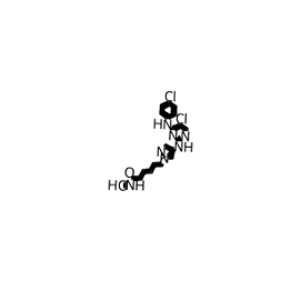 O=C(CCCCCn1cc(Nc2ncc(Cl)c(Nc3ccc(Cl)cc3)n2)cn1)NO